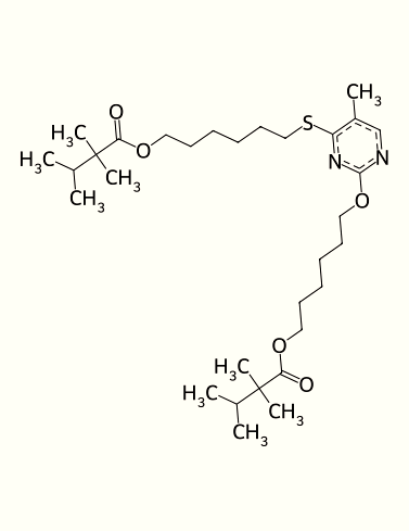 Cc1cnc(OCCCCCCOC(=O)C(C)(C)C(C)C)nc1SCCCCCCOC(=O)C(C)(C)C(C)C